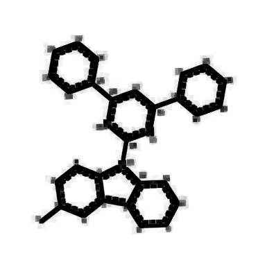 Cc1ccc2c(c1)c1ccccc1n2-c1nc(-c2ccccc2)cc(-c2ccccc2)n1